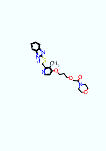 Cc1c(OCCCOCC(=O)N2CCOCC2)ccnc1CSc1nc2ccccc2[nH]1